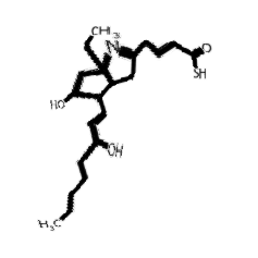 CCCCCC(O)/C=C/C1C(O)CC2(CC)N=C(CCCC(=O)S)CC12